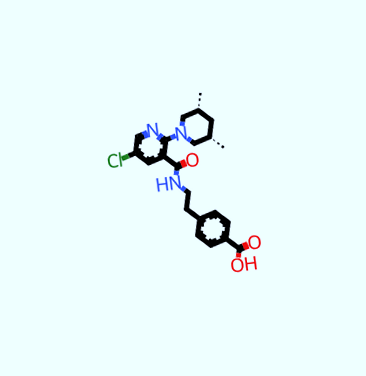 C[C@@H]1C[C@H](C)CN(c2ncc(Cl)cc2C(=O)NCCc2ccc(C(=O)O)cc2)C1